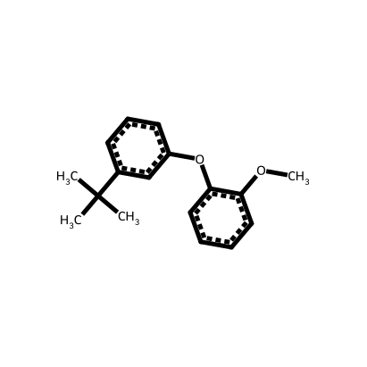 COc1ccccc1Oc1cccc(C(C)(C)C)c1